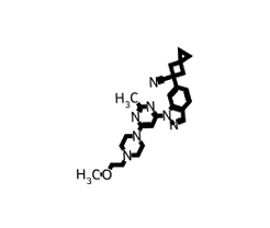 COCCN1CCN(c2cc(-n3ncc4ccc(C5(C#N)CC6(CC6)C5)cc43)nc(C)n2)CC1